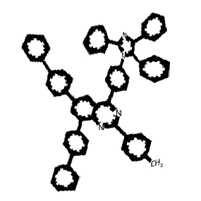 Cc1ccc(-c2nc(-c3ccc(-n4c(-c5ccccc5)nc(-c5ccccc5)c4-c4ccccc4)cc3)c3cc(-c4ccc(-c5ccccc5)cc4)cc(-c4ccc(-c5ccccc5)cc4)c3n2)cc1